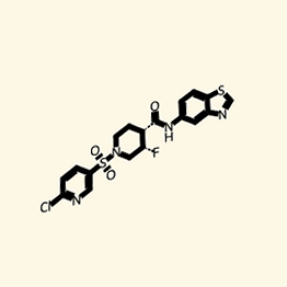 O=C(Nc1ccc2scnc2c1)[C@H]1CCN(S(=O)(=O)c2ccc(Cl)nc2)C[C@H]1F